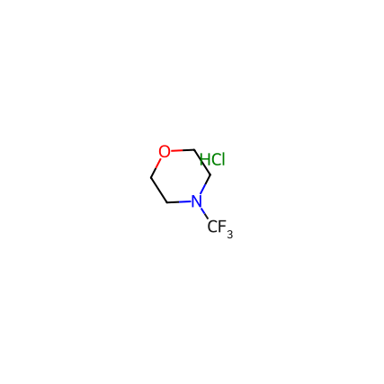 Cl.FC(F)(F)N1CCOCC1